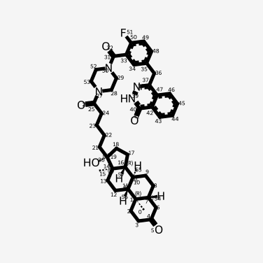 C[C@@]12CCC(=O)C[C@H]1CC[C@H]1[C@H]2CC[C@]2(C)[C@@H]1CC[C@]2(O)CCCCC(=O)N1CCN(C(=O)c2cc(Cc3n[nH]c(=O)c4ccccc34)ccc2F)CC1